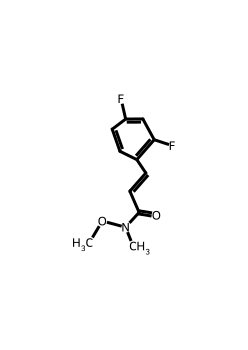 CON(C)C(=O)/C=C/c1ccc(F)cc1F